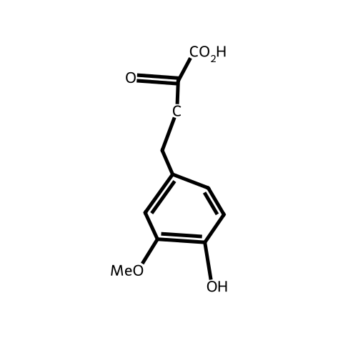 COc1cc(CCC(=O)C(=O)O)ccc1O